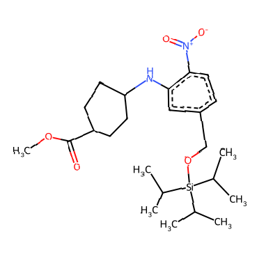 COC(=O)C1CCC(Nc2cc(CO[Si](C(C)C)(C(C)C)C(C)C)ccc2[N+](=O)[O-])CC1